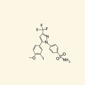 COc1ccc(-c2cc(C(F)(F)F)nn2-c2ccc(S(N)(=O)=O)cc2)cc1I